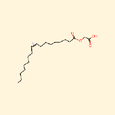 CCCCCCCC/C=C\CCCCCCCC(=O)OCC(=O)O